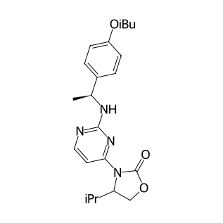 CC(C)COc1ccc([C@H](C)Nc2nccc(N3C(=O)OCC3C(C)C)n2)cc1